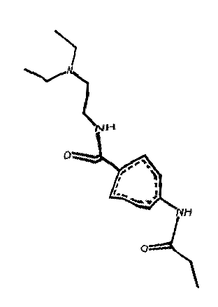 CCC(=O)Nc1ccc(C(=O)NCCN(CC)CC)cc1